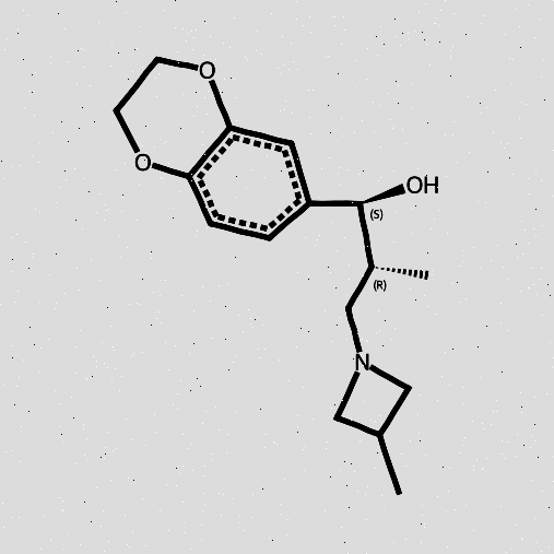 CC1CN(C[C@@H](C)[C@H](O)c2ccc3c(c2)OCCO3)C1